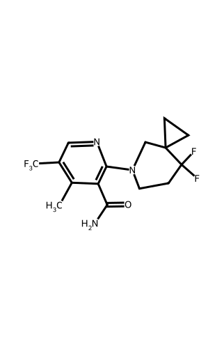 Cc1c(C(F)(F)F)cnc(N2CCC(F)(F)C3(CC3)C2)c1C(N)=O